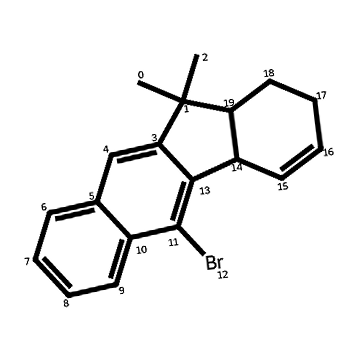 CC1(C)c2cc3ccccc3c(Br)c2C2C=CCCC21